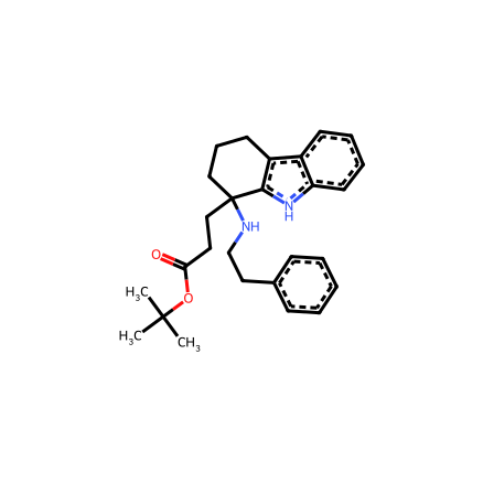 CC(C)(C)OC(=O)CCC1(NCCc2ccccc2)CCCc2c1[nH]c1ccccc21